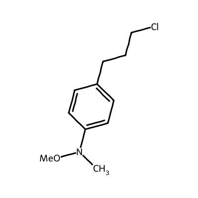 CON(C)c1ccc(CCCCl)cc1